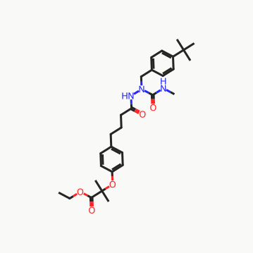 CCOC(=O)C(C)(C)Oc1ccc(CCCC(=O)NN(Cc2ccc(C(C)(C)C)cc2)C(=O)NC)cc1